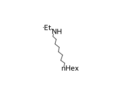 C[CH]NCCCCCCCCCCCCCC